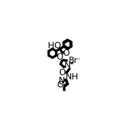 Cc1cc(NC(=O)C[N@+]2(C)CCC(OC(=O)C(O)(c3ccccc3)C3CCCCC3)C2)no1.[Br-]